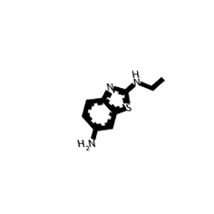 CCNc1nc2ccc(N)cc2s1